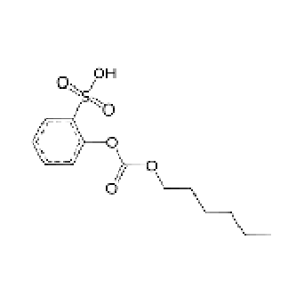 CCCCCCOC(=O)Oc1ccccc1S(=O)(=O)O